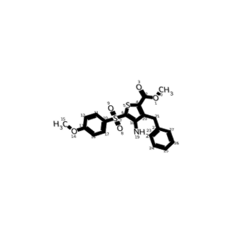 COC(=O)c1sc(S(=O)(=O)c2ccc(OC)cc2)c(N)c1Cc1ccccc1